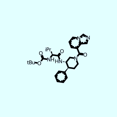 CC(C)[C@H](NC(=O)OC(C)(C)C)C(=O)N[C@@H]1CN(C(=O)c2cccn3cncc23)CC[C@H]1c1ccccc1